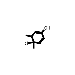 CC1C=C(O)C=CC1(C)Cl